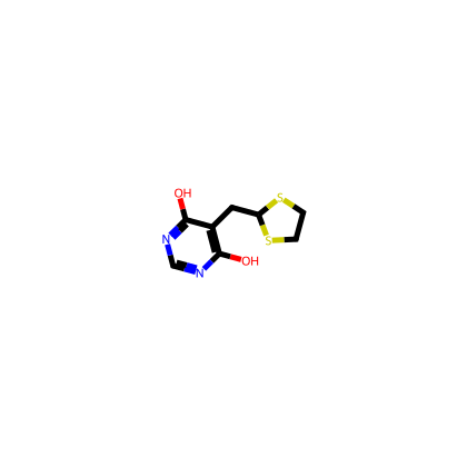 Oc1ncnc(O)c1CC1SCCS1